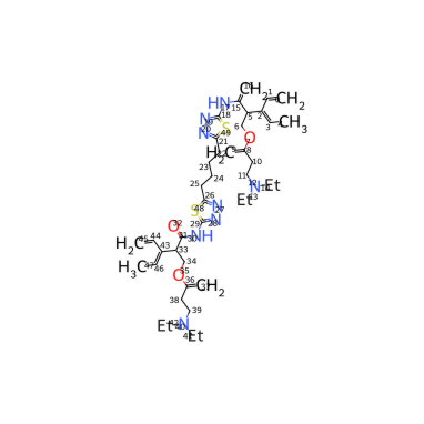 C=C/C(=C\C)C(COC(=C)CCN(CC)CC)C(=C)Nc1nnc(CCCCc2nnc(NC(=O)C(COC(=C)CCN(CC)CC)/C(C=C)=C/C)s2)s1